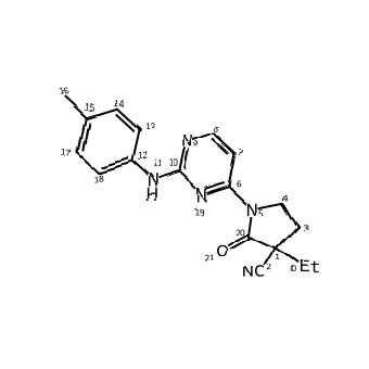 CCC1(C#N)CCN(c2ccnc(Nc3ccc(C)cc3)n2)C1=O